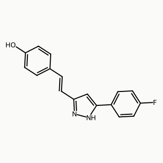 Oc1ccc(C=Cc2cc(-c3ccc(F)cc3)[nH]n2)cc1